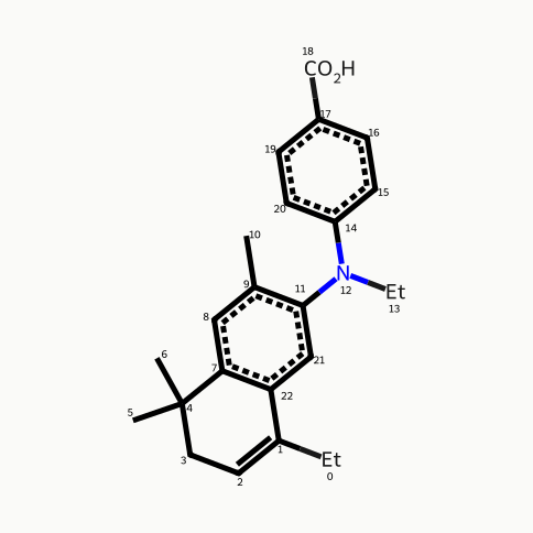 CCC1=CCC(C)(C)c2cc(C)c(N(CC)c3ccc(C(=O)O)cc3)cc21